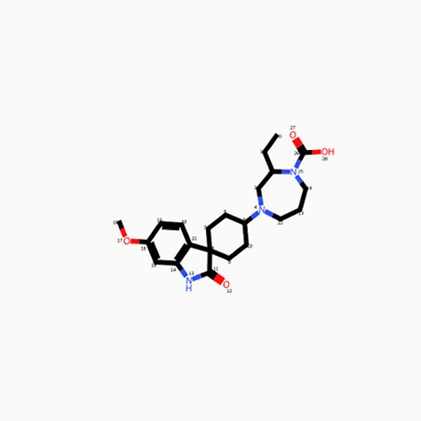 CCC1CN(C2CCC3(CC2)C(=O)Nc2cc(OC)ccc23)CCCN1C(=O)O